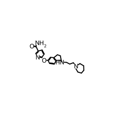 NC(=O)c1ccc(Oc2ccc3c(c2)CCC3NCCCN2CCCCCC2)nc1